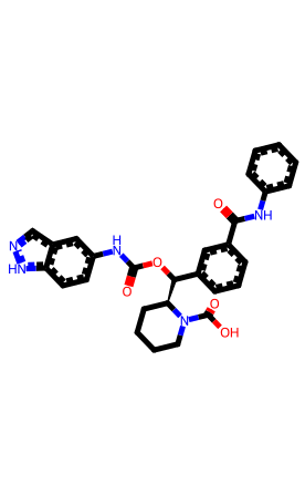 O=C(Nc1ccc2[nH]ncc2c1)OC(c1cccc(C(=O)Nc2ccccc2)c1)[C@@H]1CCCCN1C(=O)O